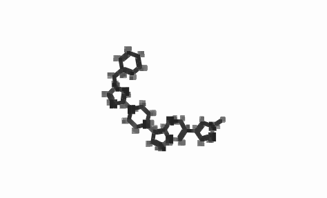 Cn1cc(-c2cnc3c(N4CCN(c5ncn(Cc6ccccc6)n5)CC4)cnn3c2)cn1